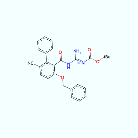 CC(C)(C)OC(=O)/N=C(\N)NC(=O)c1c(OCc2ccccc2)ccc(C#N)c1-c1ccccc1